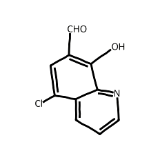 O=Cc1cc(Cl)c2cccnc2c1O